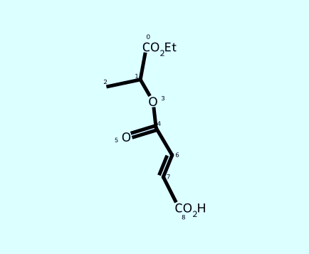 CCOC(=O)C(C)OC(=O)/C=C/C(=O)O